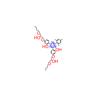 CCCCOCC(O)COc1ccc(-c2nc(-c3ccc(OCC(O)COCCCC)cc3O)nc(-c3c(C)cc(C)cc3C)n2)c(O)c1